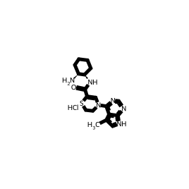 Cc1c[nH]c2ncnc(N3C=C(C(=O)N[C@H]4CCCC[C@H]4N)SCC3)c12.Cl